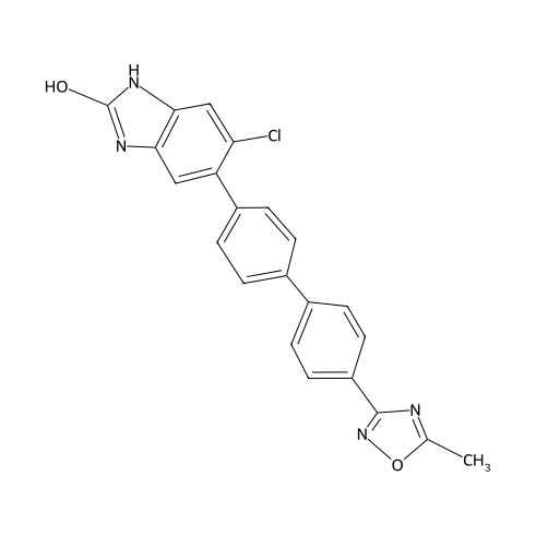 Cc1nc(-c2ccc(-c3ccc(-c4cc5nc(O)[nH]c5cc4Cl)cc3)cc2)no1